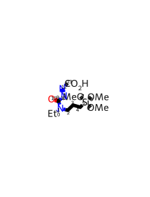 CCN(CCC[Si](OC)(OC)OC)C(=O)N=NC(=O)O